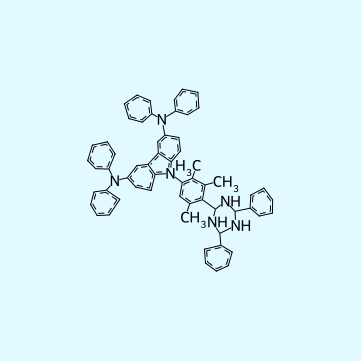 Cc1cc(-n2c3ccc(N(c4ccccc4)c4ccccc4)cc3c3cc(N(c4ccccc4)c4ccccc4)ccc32)c(C)c(C)c1C1NC(c2ccccc2)NC(c2ccccc2)N1